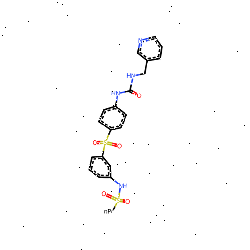 CCCS(=O)(=O)Nc1cccc(S(=O)(=O)c2ccc(NC(=O)NCc3cccnc3)cc2)c1